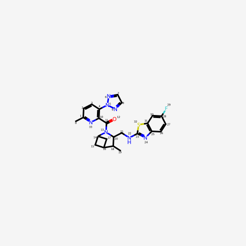 Cc1ccc(-n2nccn2)c(C(=O)N2C3CC(C3)C(C)C2CNc2nc3ccc(F)cc3s2)n1